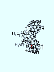 C=CCOC(=O)c1c(C(=O)O)c(C(=O)OC(=O)c2c(C(=O)O)c(C(=O)O)c(C(=O)O)c(C(=O)O)c2C(=O)O)c(C(=O)OC(=O)c2c(C(=O)O)c(C(=O)O)c(C(=O)O)c(C(=O)O)c2C(=O)O)c(C(=O)OCC=C)c1C(=O)OCC=C